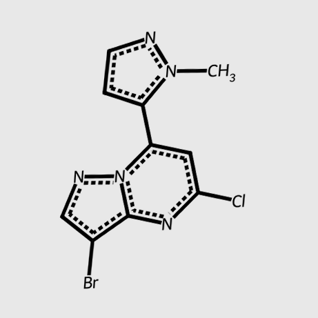 Cn1nccc1-c1cc(Cl)nc2c(Br)cnn12